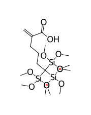 C=C(CCCC([Si](OC)(OC)OC)([Si](OC)(OC)OC)[Si](OC)(OC)OC)C(=O)O